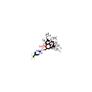 CC1=C[C@]23C(=O)[C@@H](C=C(COc4ncc(C(F)(F)F)cn4)[C@@H](O)[C@@]24O[C@@H]14)[C@H]1[C@@H](C[C@H]3C)C1(C)C